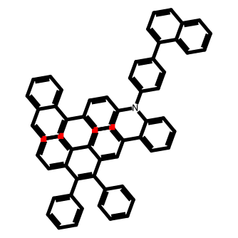 c1ccc(-c2c(-c3ccccc3)c3cc(-c4ccccc4N(c4ccc(-c5cccc6ccccc56)cc4)c4ccc(-c5cccc6ccccc56)cc4)ccc3c3ccccc23)cc1